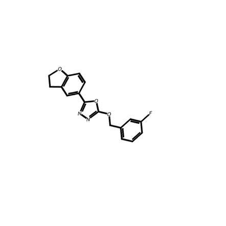 Fc1cccc(COc2nnc(-c3ccc4c(c3)CCO4)o2)c1